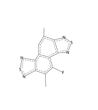 Cc1c(F)c2c(cc(C)c3nsnc32)c2nsnc12